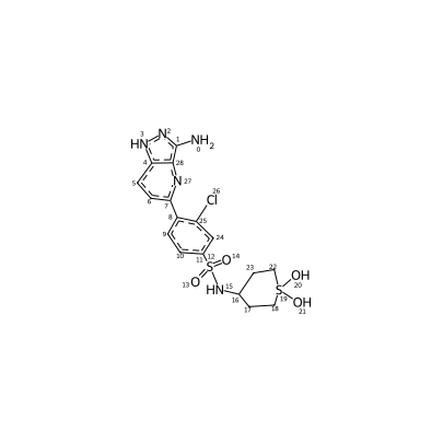 Nc1n[nH]c2ccc(-c3ccc(S(=O)(=O)NC4CCS(O)(O)CC4)cc3Cl)nc12